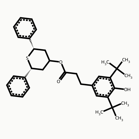 CC(C)(C)c1cc(CCC(=O)OC2C[C@@H](c3ccccc3)S[C@@H](c3ccccc3)C2)cc(C(C)(C)C)c1O